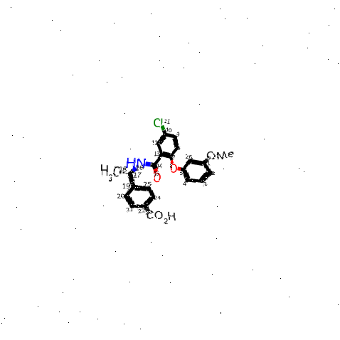 COc1cccc(Oc2ccc(Cl)cc2C(=O)N[C@@H](C)c2ccc(C(=O)O)cc2)c1